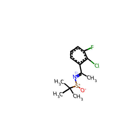 C/C(=N\[S+]([O-])C(C)(C)C)c1cccc(F)c1Cl